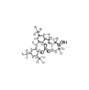 CC1c2cc(C(C)(C)C)cc(C(C)(C)C)c2OP(OC2CC(C)(C)N(O)C(C)(C)C2)Oc2c1cc(C(C)(C)C)cc2C(C)(C)C